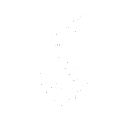 Cc1ccc(C(c2ccc(C)c(Nc3cc(N)cc(C(c4cccc(Nc5cc(Oc6cccc(N)c6)ccc5N)c4)(C(F)(F)F)C(F)(F)F)c3)c2)(C(F)(F)F)C(F)(F)F)cc1N